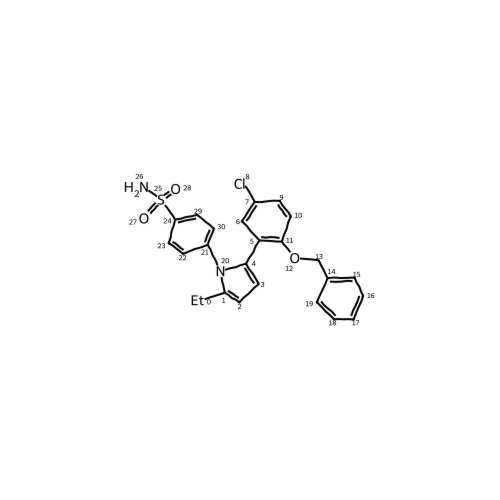 CCc1ccc(-c2cc(Cl)ccc2OCc2ccccc2)n1-c1ccc(S(N)(=O)=O)cc1